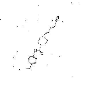 CCc1ccc(OC(=O)[C@H]2CC[C@H](C=CC=CC#N)CC2)cc1